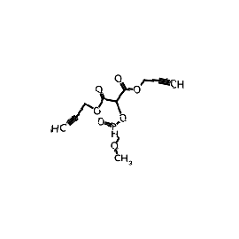 C#CCOC(=O)C(O[PH](=O)COC)C(=O)OCC#C